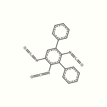 O=C=Nc1cc(-c2ccccc2)c(N=C=O)c(-c2ccccc2)c1N=C=O